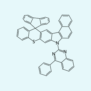 c1ccc(-c2nc(-n3c4cc5c(cc4c4c6ccccc6ccc43)C3(c4ccccc4S5)c4ccccc4-c4ccccc43)nc3ccccc23)cc1